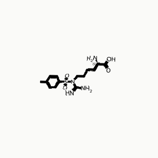 Cc1ccc(S(=O)(=O)N(CCCC[C@H](N)C(=O)O)C(=N)N)cc1